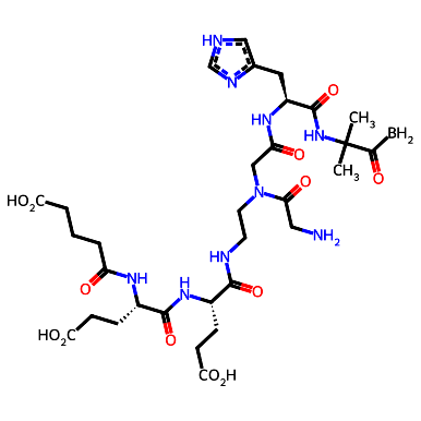 BC(=O)C(C)(C)NC(=O)[C@H](Cc1c[nH]cn1)NC(=O)CN(CCNC(=O)[C@H](CCC(=O)O)NC(=O)[C@H](CCC(=O)O)NC(=O)CCCC(=O)O)C(=O)CN